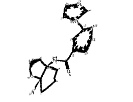 O=C(N[C@@]12CCC[C@@H]1OCC2)c1ccnc(-n2ccnc2)c1